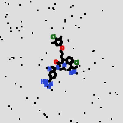 Cc1cc(OCCCc2c3n(c4c(-c5c(C)nn(C)c5C)c(Cl)ccc24)[C@H](C)CN(c2cn(C)c4cc(-c5nnn[nH]5)ccc24)C3=O)cc(C)c1Cl